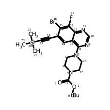 CC(C)(C)OC(=O)N1CCN(c2ncnc3c(F)c(Br)c(C#C[Si](C)(C)C)cc23)CC1